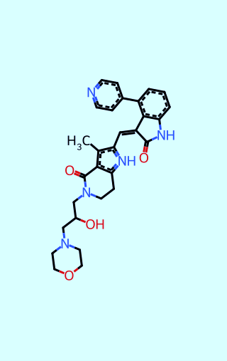 Cc1c(/C=C2\C(=O)Nc3cccc(-c4ccncc4)c32)[nH]c2c1C(=O)N(CC(O)CN1CCOCC1)CC2